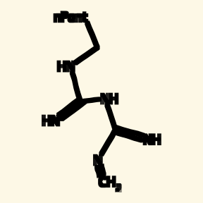 C=NC(=N)NC(=N)NCCCCCC